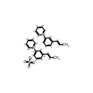 CC=Cc1cccc(-[n+]2ccccc2)c1.CC=Cc1cccc(-[n+]2ccccc2)c1.O=S(=O)([O-])[O-]